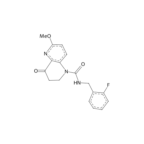 COc1ccc2c(n1)C(=O)CCN2C(=O)NCc1ccccc1F